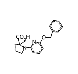 CC1(C(=O)O)CCCN1c1cccc(OCc2ccccc2)n1